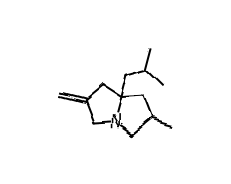 C=C1CN2CC(C)CC2(CC(C)C)C1